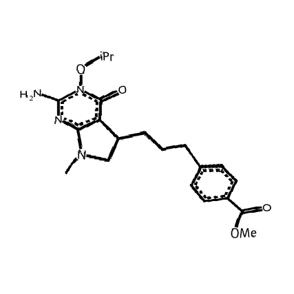 COC(=O)c1ccc(CCCC2CN(C)c3nc(N)n(OC(C)C)c(=O)c32)cc1